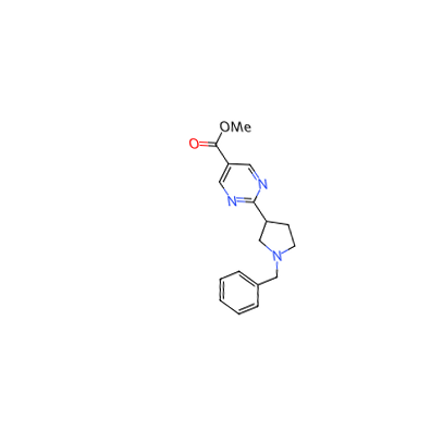 COC(=O)c1cnc(C2CCN(Cc3ccccc3)C2)nc1